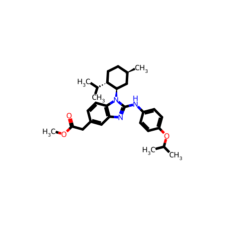 COC(=O)Cc1ccc2c(c1)nc(Nc1ccc(OC(C)C)cc1)n2[C@@H]1C[C@H](C)CC[C@H]1C(C)C